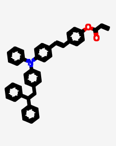 C=CC(=O)Oc1ccc(C=Cc2ccc(N(c3ccccc3)c3ccc(CC(c4ccccc4)c4ccccc4)cc3)cc2)cc1